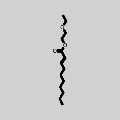 CCCCCCC/C=C/C(=O)OCCOCC